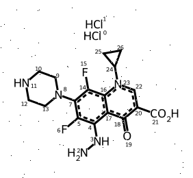 Cl.Cl.NNc1c(F)c(N2CCNCC2)c(F)c2c1c(=O)c(C(=O)O)cn2C1CC1